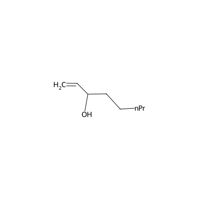 [CH2]CCCCC(O)C=C